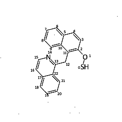 SOc1ccc2ccccc2c1Cc1nccc2ccccc12